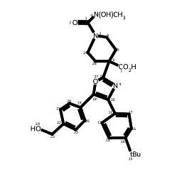 CN(O)C(=O)N1CCC(C(=O)O)(c2nc(-c3ccc(C(C)(C)C)cc3)c(-c3ccc(CO)cc3)o2)CC1